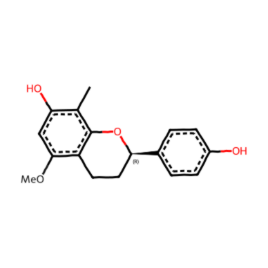 COc1cc(O)c(C)c2c1CC[C@H](c1ccc(O)cc1)O2